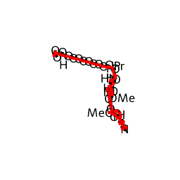 COc1cc2c(cc1OCCCCCOc1cc3c(cc1OC)C(=O)N1C=C(c4ccc(NC(=O)[C@H](C)CCCC(=O)[C@@H](NC(=O)CCOCCOCCOCCOCCOCCOCCOCCOCCNC(=O)CCC5C(=O)C=CC5=O)C(C)C)cc4)C[C@H]1C=N3)C=C=C[C@@H]1CC(c3ccc(C4CCN(C)CC4)cc3)=CN1C2=O